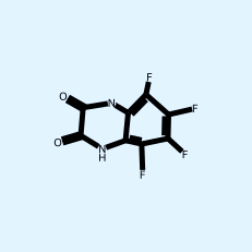 O=C1[N]c2c(F)c(F)c(F)c(F)c2NC1=O